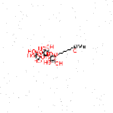 COC(=O)CCCCCCCCO[C@H]1O[C@H](CO)[C@@H](O)[C@H](O[C@H]2O[C@H](CO)[C@@H](O)[C@H](O)[C@H]2O[C@H]2O[C@H](CO)[C@@H](O)C[C@H]2O)[C@H]1O